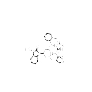 Cc1ccccc1[C@H](C)n1nnnc1[C@@H](c1ccsc1C)N1CCC(n2c(=O)n(S)c3ccccc32)CC1C